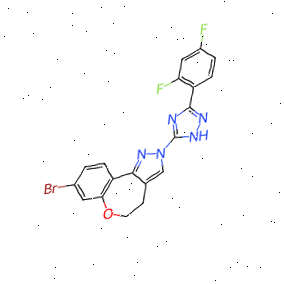 Fc1ccc(-c2n[nH]c(-n3cc4c(n3)-c3ccc(Br)cc3OCC4)n2)c(F)c1